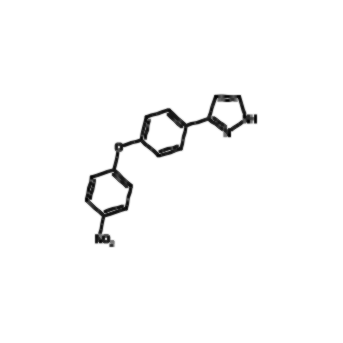 O=[N+]([O-])c1ccc(Oc2ccc(-c3cc[nH]n3)cc2)cc1